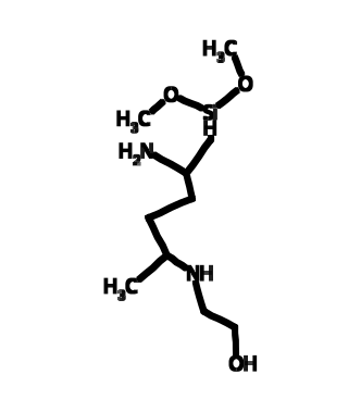 CO[SiH](CC(N)CCC(C)NCCO)OC